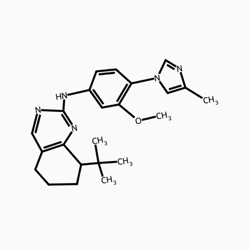 COc1cc(Nc2ncc3c(n2)C(C(C)(C)C)CCC3)ccc1-n1cnc(C)c1